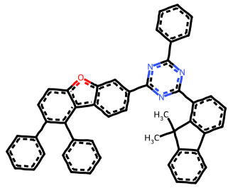 CC1(C)c2ccccc2-c2cccc(-c3nc(-c4ccccc4)nc(-c4ccc5c(c4)oc4ccc(-c6ccccc6)c(-c6ccccc6)c45)n3)c21